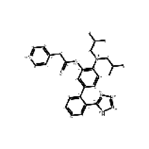 CC(C)CN(CC(C)C)c1ccc(-c2ccccc2-c2nnn[nH]2)cc1NC(=O)Cc1ccncc1